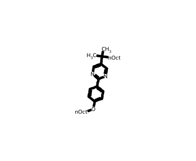 CCCCCCCCOc1ccc(-c2ncc(C(C)(C)CCCCCCCC)cn2)cc1